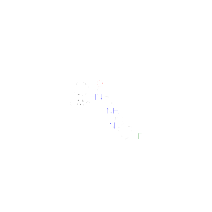 COc1ccc(F)cc1C(=O)N[C@@H]1CCC[C@@H]1Nc1nc2ccc(F)cc2s1